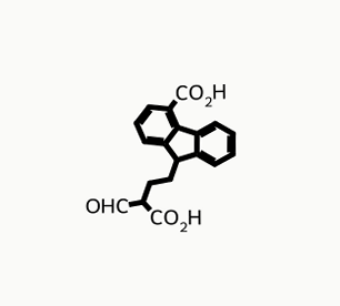 O=CC(CCC1c2ccccc2-c2c(C(=O)O)cccc21)C(=O)O